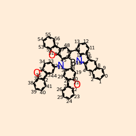 c1ccc2cc3c(cc2c1)c1cccc2c1n3B1c3cc4oc5ccccc5c4cc3N(c3ccc4oc5ccccc5c4c3)c3c1c-2cc1c3oc2ccccc21